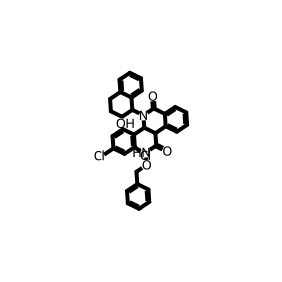 O=C(NOCc1ccccc1)C1c2ccccc2C(=O)N(C2c3ccccc3CCC2O)C1c1ccc(Cl)cc1Cl